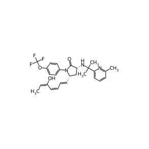 C\C=C(O)/C=C\C=C\[C@H]1C[C@@H](NC(C)(C)c2cccc(C)n2)C(=O)N1c1ccc(OC(F)(F)F)cc1